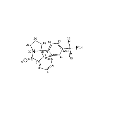 O=C1c2ccccc2C2(c3ccc(C(F)(F)F)cc3)CCCN12